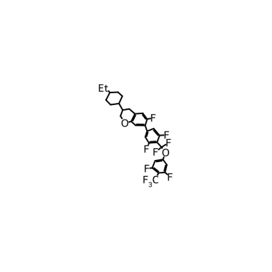 CCC1CCC(C2COc3cc(-c4cc(F)c(C(F)(F)Oc5cc(F)c(C(F)(F)F)c(F)c5)c(F)c4)c(F)cc3C2)CC1